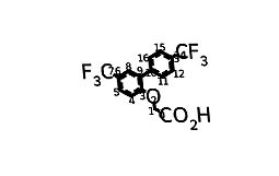 O=C(O)COc1ccc(C(F)(F)F)cc1-c1ccc(C(F)(F)F)cc1